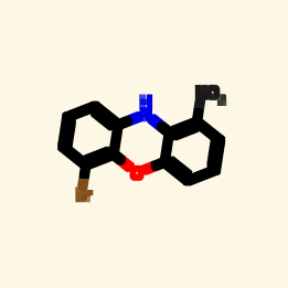 O=[N+]([O-])c1cccc2c1Nc1cccc(Br)c1O2